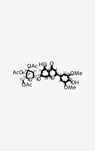 COc1cc(-c2cc(=O)c3c(O)cc(O[C@H]4C[C@@H](OC(C)=O)[C@@H](OC(C)=O)[C@@H](COC(C)=O)O4)cc3o2)cc(OC)c1O